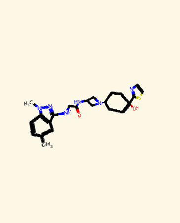 Cc1ccc2c(c1)c(NCC(=O)NC1CN([C@H]3CC[C@@](O)(c4nccs4)CC3)C1)nn2C